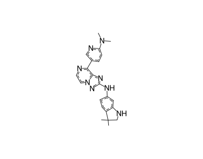 CN(C)c1ccc(-c2nccn3nc(Nc4ccc5c(c4)NCC5(C)C)nc23)cn1